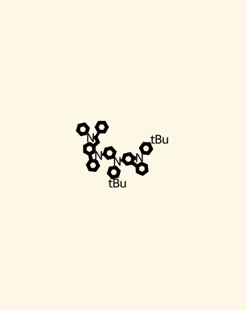 CC(C)(C)c1ccc(N(c2cccc(-n3c4ccccc4c4ccc5c(cc(-c6ccccc6)n5-c5ccccc5)c43)c2)c2ccc3c(c2)c2ccccc2n3-c2ccc(C(C)(C)C)cc2)cc1